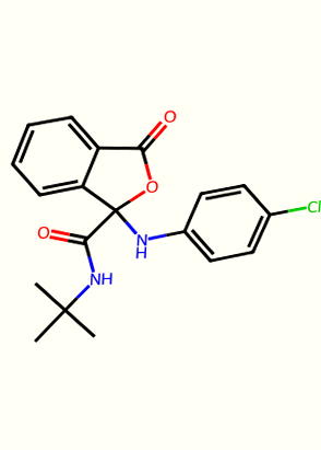 CC(C)(C)NC(=O)C1(Nc2ccc(Cl)cc2)OC(=O)c2ccccc21